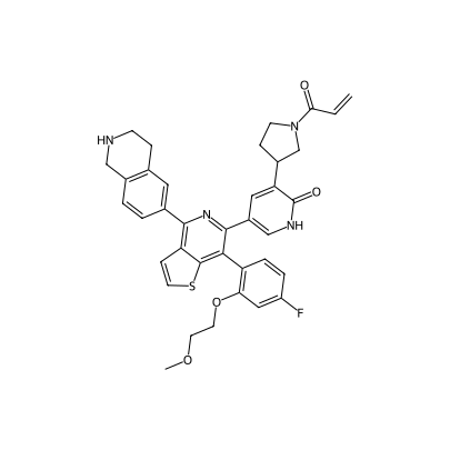 C=CC(=O)N1CCC(c2cc(-c3nc(-c4ccc5c(c4)CCNC5)c4ccsc4c3-c3ccc(F)cc3OCCOC)c[nH]c2=O)C1